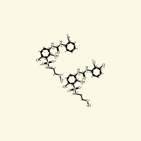 CCOCCNS(=O)(=O)c1c(Cl)ccc(NC(=O)Nc2cccc(Cl)c2Cl)c1O.CCOCCNS(=O)(=O)c1c(Cl)ccc(NC(=O)Nc2ccccc2Br)c1O